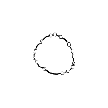 C1COCCOCCSCCSCCSCCOCCO1